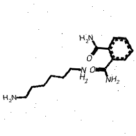 NC(=O)c1ccccc1C(N)=O.NCCCCCCN